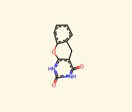 O=c1[nH]c2c(c(=O)[nH]1)Cc1ccccc1O2